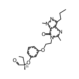 CCCc1nn(C)c2c(=O)n(CCOc3cccc(O[C@](C)(C=O)CC)c3)c(C)nc12